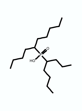 CCCCCC(CCCC)P(=O)(O)C(CCC)CCCC